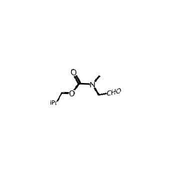 CC(C)COC(=O)N(C)CC=O